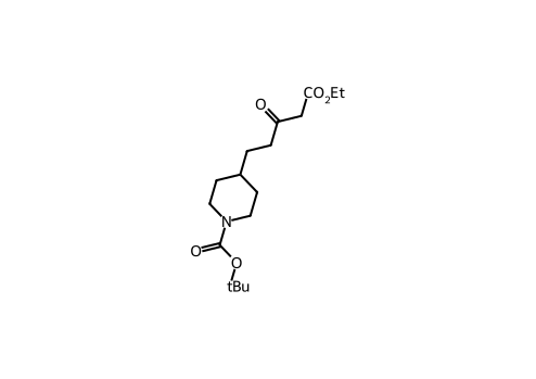 CCOC(=O)CC(=O)CCC1CCN(C(=O)OC(C)(C)C)CC1